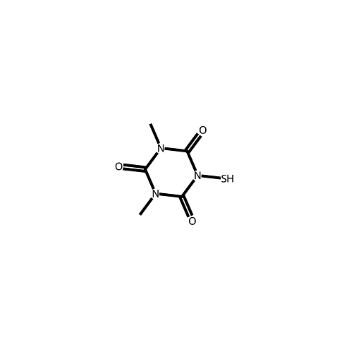 Cn1c(=O)n(C)c(=O)n(S)c1=O